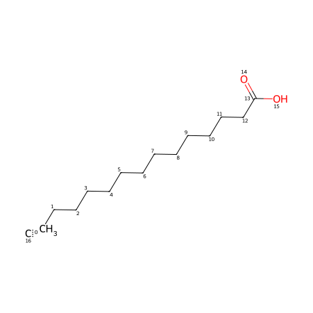 CCCCCCCCCCCCCC(=O)O.[C]